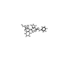 CCOC(=O)N[C@@H](C(=O)N1CCC[C@H]1C(=O)OCc1ccccc1)C1CCCCC1